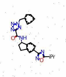 CC(C)c1nc(-c2ccc3c(c2)CC[C@H]3NC(=O)c2nnn(Cc3ccccc3)n2)no1